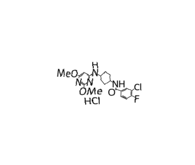 COc1cc(NC2CCC(NC(=O)c3ccc(F)c(Cl)c3)CC2)nc(OC)n1.Cl